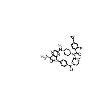 CN1CCN(C(=O)c2ccc(Nc3nc(N[C@H]4CC[C@H](NC(=O)c5ccc(C6CC6)cc5F)CC4)cnc3C(N)=O)cc2)CC1